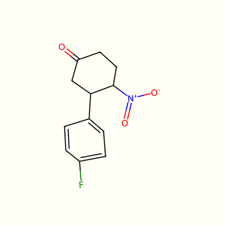 O=C1CCC([N+](=O)[O-])C(c2ccc(F)cc2)C1